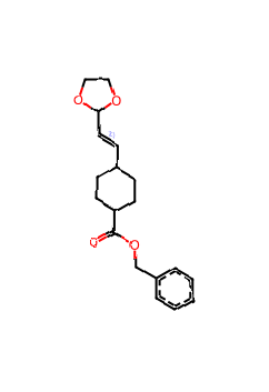 O=C(OCc1ccccc1)C1CCC(/C=C/C2OCCO2)CC1